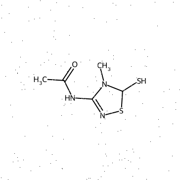 CC(=O)NC1=NSC(S)N1C